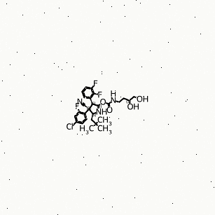 CC(C)(C)C[C@@H]1N[C@H](OC(=O)NCC[C@H](O)CO)[C@H](c2cccc(F)c2F)[C@@]1(C#N)c1ccc(Cl)cc1F